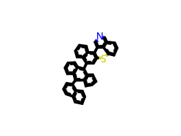 c1ccc2c(-c3c4ccccc4c(-c4cc5c(c6ccccc46)-c4cncc6cccc(c46)S5)c4ccccc34)cccc2c1